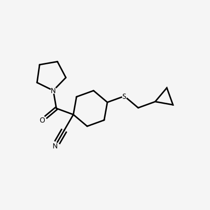 N#CC1(C(=O)N2CCCC2)CCC(SCC2CC2)CC1